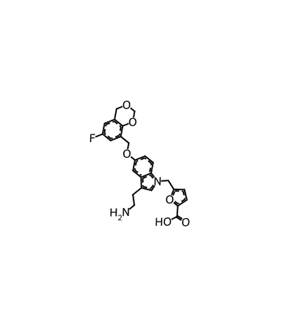 NCCc1cn(Cc2ccc(C(=O)O)o2)c2ccc(OCc3cc(F)cc4c3OCOC4)cc12